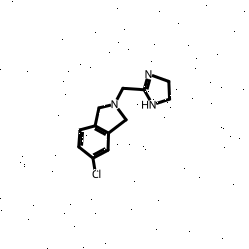 Clc1ccc2c(c1)CN(CC1=NCCN1)C2